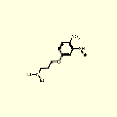 CCCNc1cc(OCCCN(CC)CC)ccc1[N+](=O)[O-]